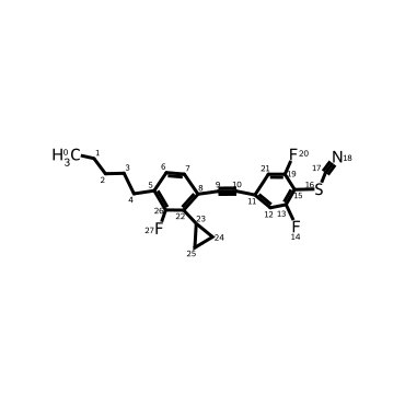 CCCCCc1ccc(C#Cc2cc(F)c(SC#N)c(F)c2)c(C2CC2)c1F